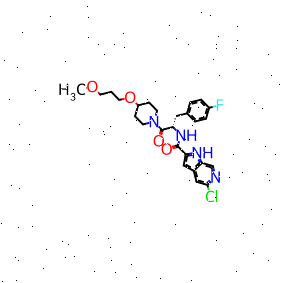 COCCCOC1CCN(C(=O)[C@H](Cc2ccc(F)cc2)NC(=O)c2cc3cc(Cl)ncc3[nH]2)CC1